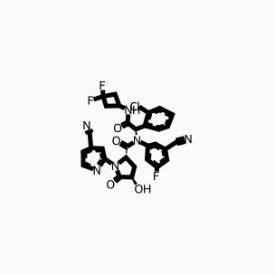 N#Cc1cc(F)cc(N(C(=O)[C@@H]2C[C@@H](O)C(=O)N2c2cc(C#N)ccn2)[C@H](C(=O)NC2CC(F)(F)C2)c2ccccc2Cl)c1